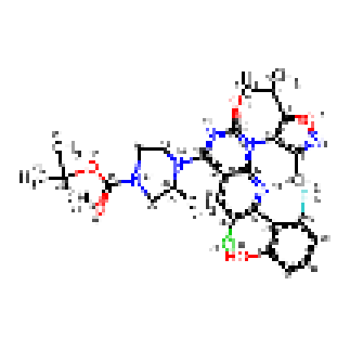 Cc1noc(C(C)C)c1-n1c(=O)nc(N2CCN(C(=O)OC(C)(C)C)C[C@@H]2C)c2cc(Cl)c(-c3c(O)cccc3F)nc21